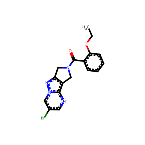 CCOc1ccccc1C(=O)N1Cc2nn3cc(Br)cnc3c2C1